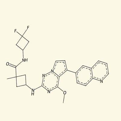 COc1nc(NC2CC(C)(C(=O)NC3CC(F)(F)C3)C2)nn2ccc(-c3ccc4ncccc4c3)c12